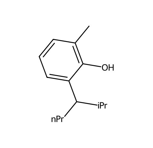 CCCC(c1cccc(C)c1O)C(C)C